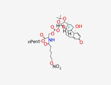 CCCCCOC(=O)C(COC(=O)OCC(=O)[C@@]12OC(C)(C)O[C@@H]1C[C@H]1[C@@H]3CCC4=CC(=O)C=C[C@]4(C)[C@@]3(F)[C@@H](O)C[C@@]12C)NC(=O)CCCCCO[N+](=O)[O-]